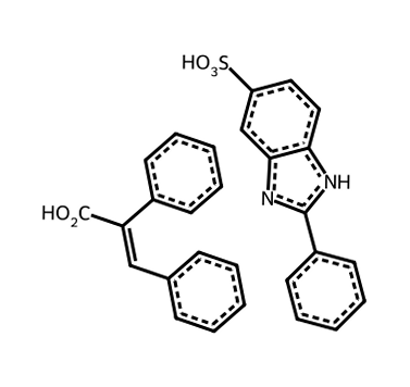 O=C(O)C(=Cc1ccccc1)c1ccccc1.O=S(=O)(O)c1ccc2[nH]c(-c3ccccc3)nc2c1